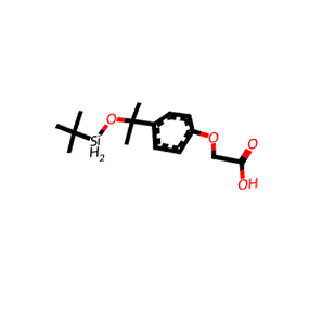 CC(C)(C)[SiH2]OC(C)(C)c1ccc(OCC(=O)O)cc1